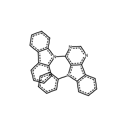 c1ccc(-n2c3ccccc3c3ncnc(-n4c5ccccc5c5ccccc54)c32)cc1